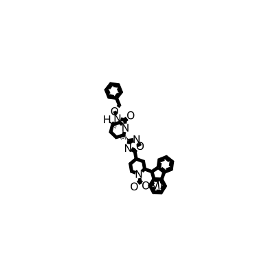 COC(=O)N1CCC(c2nc([C@@H]3CC[C@@H]4CN3C(=O)N4OCc3ccccc3)no2)CC1C1c2ccccc2-c2ccccc21